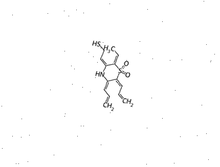 C=C/C=C1/NC(=C/CS)/C(=C\C)S(=O)(=O)/C1=C/C=C